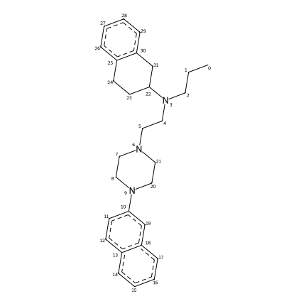 CCCN(CCN1CCN(c2ccc3ccccc3c2)CC1)C1CCc2ccccc2C1